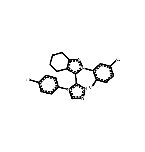 Clc1ccc(-n2cnnc2-c2c3c(nn2-c2cc(Cl)ccc2Cl)CCCC3)cc1